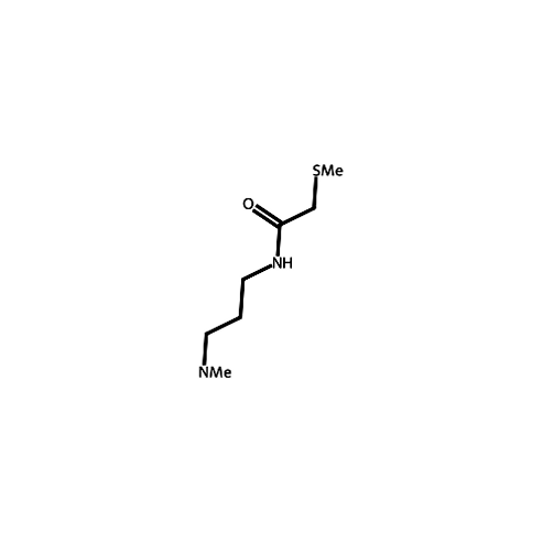 CNCCCNC(=O)CSC